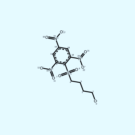 [O]CCCCS(=O)(=O)c1c([N+](=O)[O-])cc([N+](=O)[O-])cc1[N+](=O)[O-]